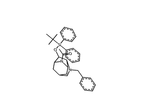 CC(=O)N1C2CC3CC1C(C2O[Si](c1ccccc1)(c1ccccc1)C(C)(C)C)N(Cc1ccccc1)C3